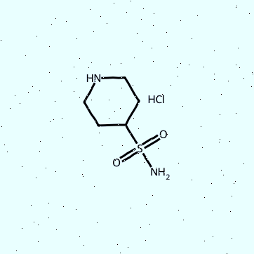 Cl.NS(=O)(=O)C1CCNCC1